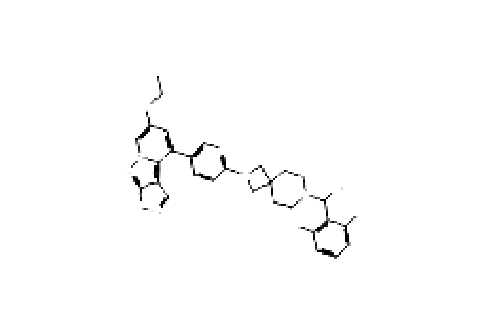 CCOc1cc(-c2ccc(N3CC4(CCN(C(O)c5c(F)cccc5Cl)CC4)C3)nc2)c2c3cn[nH]c3nn2c1